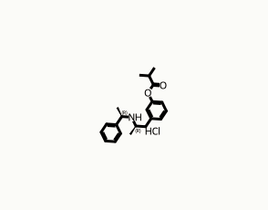 CC(C)C(=O)Oc1cccc(C[C@@H](C)N[C@H](C)c2ccccc2)c1.Cl